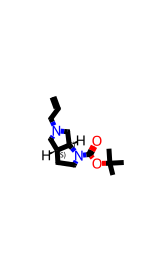 C=CCN1C[C@@H]2CCN(C(=O)OC(C)(C)C)[C@@H]2C1